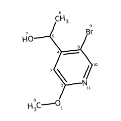 COc1cc(C(C)O)c(Br)cn1